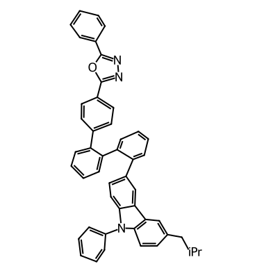 CC(C)Cc1ccc2c(c1)c1cc(-c3ccccc3-c3ccccc3-c3ccc(-c4nnc(-c5ccccc5)o4)cc3)ccc1n2-c1ccccc1